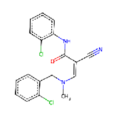 CN(/C=C(/C#N)C(=O)Nc1ccccc1Cl)Cc1ccccc1Cl